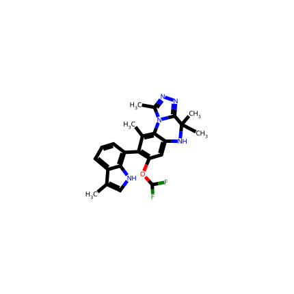 Cc1c(-c2cccc3c(C)c[nH]c23)c(OC(F)F)cc2c1-n1c(C)nnc1C(C)(C)N2